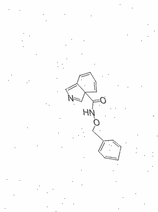 O=C(NOCc1ccccc1)C12C=CC=CC1=CN=C2